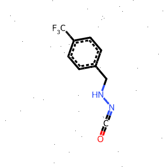 O=C=NNCc1ccc(C(F)(F)F)cc1